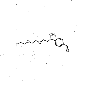 CN(CCOCCOCCF)c1ccc(C=O)cc1